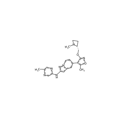 Cc1cnc(Nc2cc3cc(-c4c(OC[C@H]5CCN5C)noc4C)ccn3n2)cn1